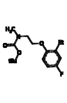 CCc1cc(F)ccc1OCCN(C)C(=O)OC(C)(C)C